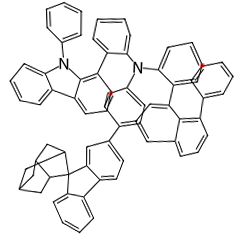 c1ccc(-c2cccc3cccc(-c4ccccc4N(c4ccc(-c5ccc6c(c5)C5(c7ccccc7-6)C6CC7CC(C6)C5C7)cc4)c4ccccc4-c4cccc5c6ccccc6n(-c6ccccc6)c45)c23)cc1